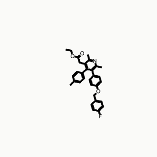 CCOC(=O)Cc1c(C)nc(C)c(-c2ccc(OCc3ccc(F)cc3)cc2)c1-c1ccc(C)cc1